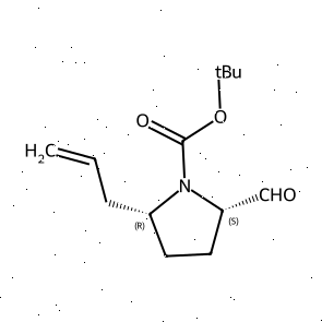 C=CC[C@H]1CC[C@@H](C=O)N1C(=O)OC(C)(C)C